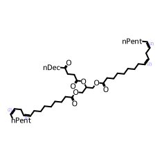 CCCCC/C=C\C/C=C\CCCCCCCC(=O)OCC(COC(=O)CCCCCCC/C=C\C/C=C\CCCCC)OC(=O)CCC(=O)CCCCCCCCCC